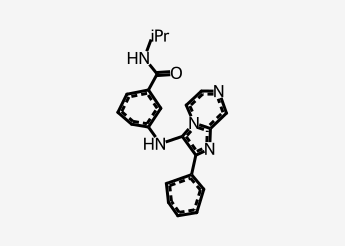 CC(C)NC(=O)c1cccc(Nc2c(-c3ccccc3)nc3cnccn23)c1